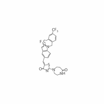 O=C1CCN(C2=NC(=O)/C(=C/c3ccc4c(cnn4Cc4ccc(C(F)(F)F)cc4C(F)(F)F)c3)S2)CCN1